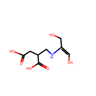 O=C(O)CC(CN/C(=C\O)CO)C(=O)O